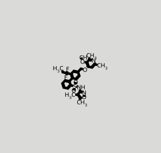 CCC(F)(F)c1cc(COc2cc(C)nc(C)c2OC)ccc1-c1ccccc1S(=O)(=O)Nc1noc(C)c1C